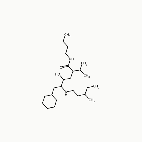 CCCCNC(=O)C(CC(O)C(CC1CCCCC1)NCCC(C)CC)C(C)C